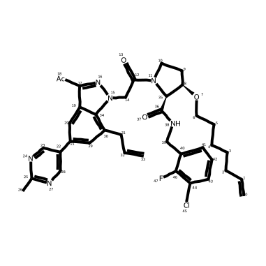 C=CCCCCCO[C@@H]1CCN(C(=O)Cn2nc(C(C)=O)c3cc(-c4cnc(C)nc4)cc(CC=C)c32)[C@@H]1C(=O)NCc1cccc(Cl)c1F